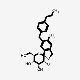 CCCc1ccc(Cc2cc3c(cc2C)CO[C@]32O[C@H](CO)[C@@H](O)[C@H](O)[C@H]2O)cc1